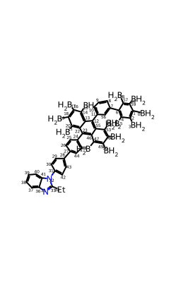 Bc1c(B)c(B)c(-c2cccc(-c3c4c(B)c(B)c(B)c(B)c4c(-c4ccc(-c5ccc(-n6c(CC)nc7ccccc76)cc5)cc4)c4c(B)c(B)c(B)c(B)c34)c2)c(B)c1B